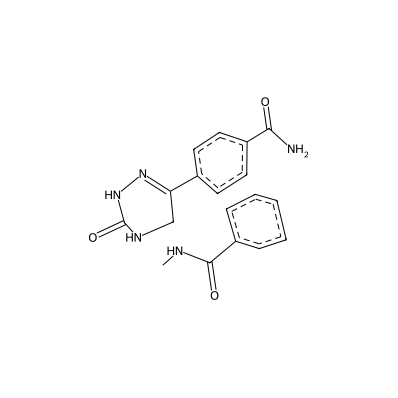 CNC(=O)c1ccccc1.NC(=O)c1ccc(C2=NNC(=O)NC2)cc1